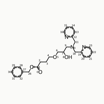 O=C(CCCOCC(O)CN(Cc1ccccn1)Cc1ccccn1)OCc1ccccc1